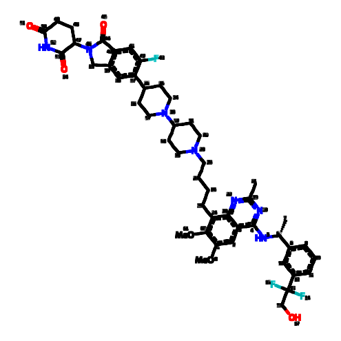 COc1cc2c(N[C@H](C)c3cccc(C(F)(F)CO)c3)nc(C)nc2c(CCCCN2CCC(N3CCC(c4cc5c(cc4F)C(=O)N(C4CCC(=O)NC4=O)C5)CC3)CC2)c1OC